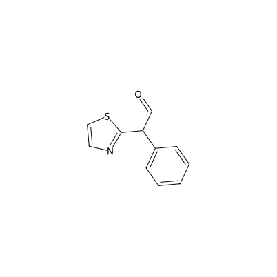 O=CC(c1ccccc1)c1nccs1